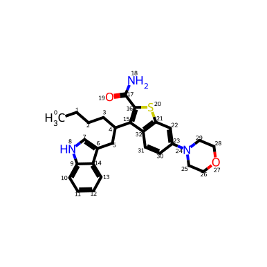 CCCCC(Cc1c[nH]c2ccccc12)c1c(C(N)=O)sc2cc(N3CCOCC3)ccc12